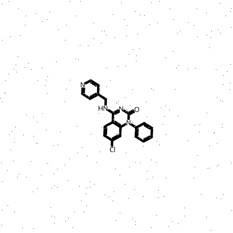 O=c1nc(NCc2ccncc2)c2ccc(Cl)cc2n1-c1ccccc1